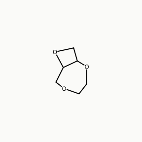 C1COC2COC2CO1